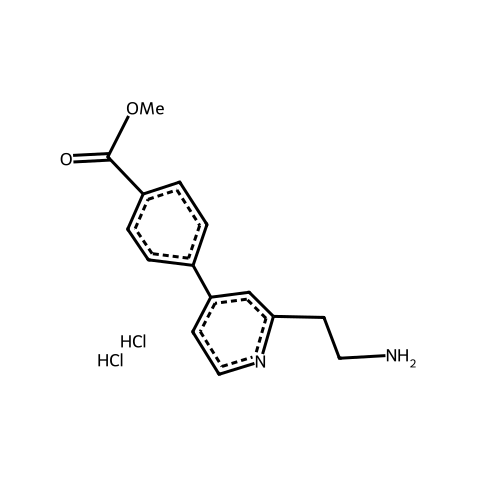 COC(=O)c1ccc(-c2ccnc(CCN)c2)cc1.Cl.Cl